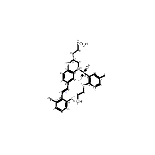 Cc1cnc(OCCO)c(S(=O)(=O)N2C[C@H](CCC(=O)O)Oc3ccc(/C=C/c4c(F)cccc4Cl)cc32)c1